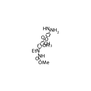 CCN(CCNC(=O)COC)c1ccc(/C=C(\C)C(=O)Oc2ccc(C(=N)N)cc2)c(O)c1